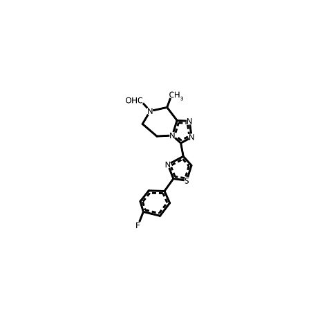 CC1c2nnc(-c3csc(-c4ccc(F)cc4)n3)n2CCN1C=O